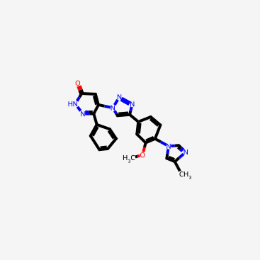 COc1cc(-c2cn(-c3cc(=O)[nH]nc3-c3ccccc3)nn2)ccc1-n1cnc(C)c1